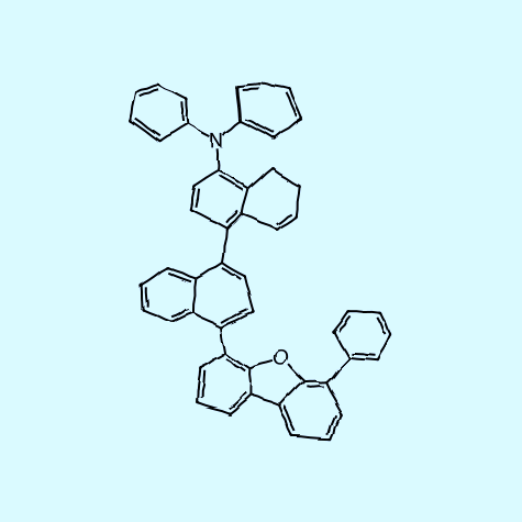 C1=Cc2c(-c3ccc(-c4cccc5c4oc4c(-c6ccccc6)cccc45)c4ccccc34)ccc(N(c3ccccc3)c3ccccc3)c2CC1